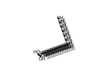 C=C.C=C.C=C.C=C.C=C.C=C.C=C.C=C.C=C.C=C.C=C.C=C.C=C.C=C.C=C.C=C.C=C.C=C.C=C.C=C.C=C.C=C.OCCO